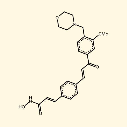 COc1cc(C(=O)C=Cc2ccc(C=CC(=O)NO)cc2)ccc1CN1CCOCC1